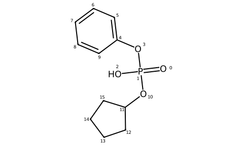 O=P(O)(Oc1ccccc1)OC1CCCC1